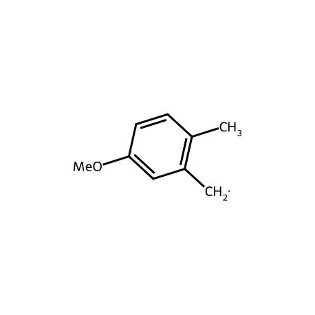 [CH2]c1cc(OC)ccc1C